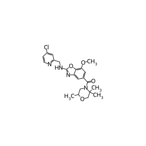 COc1cc(C(=O)N2CC(C)OCC2(C)C)cc2nc(NCc3cc(Cl)ccn3)oc12